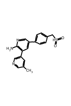 Cc1cncc(-c2cc(-c3ccc(C[SH](=O)=O)cc3)cnc2N)c1